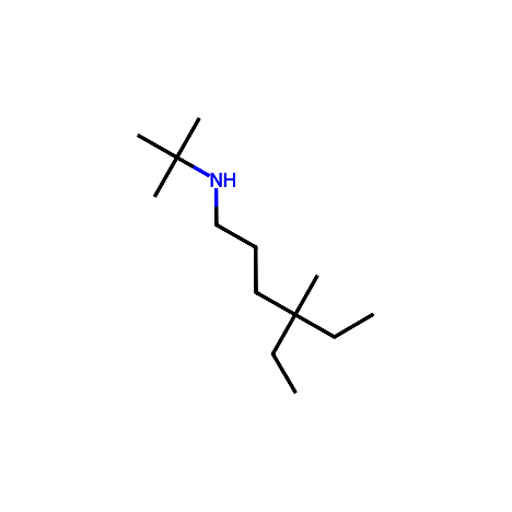 CCC(C)(CC)CCCNC(C)(C)C